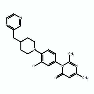 Cc1cc(=O)n(-c2ccc(N3CCC(Cc4cnccn4)CC3)c(Cl)c2)c(C)n1